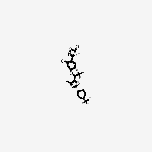 Cc1nc([C@H]2CC[C@H](C(F)(F)F)CC2)sc1C(Oc1ccc(-c2noc(=O)[nH]2)c(Cl)c1)C(F)(F)F